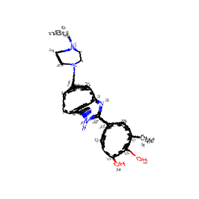 CCCCN1CCN(c2ccc3[nH]c(-c4cc(O)c(O)c(OC)c4)nc3c2)CC1